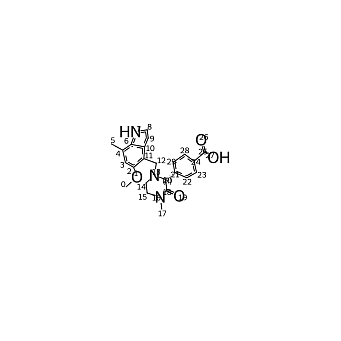 COc1cc(C)c2[nH]ccc2c1CN1CCN(C)C(=O)[C@H]1c1ccc(C(=O)O)cc1